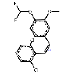 COc1cc(/[C]=C\c2c(Cl)cncc2Cl)ccc1OC(F)F